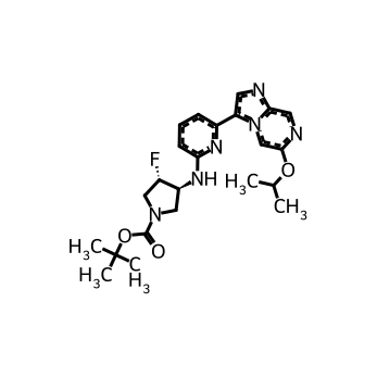 CC(C)Oc1cn2c(-c3cccc(N[C@H]4CN(C(=O)OC(C)(C)C)C[C@@H]4F)n3)cnc2cn1